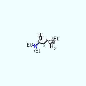 C[CH2][GeH2][CH2]CCN(CC)CC.[H-].[H-]